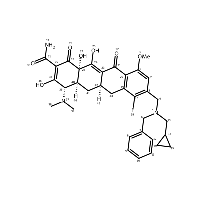 COc1cc(CN(Cc2ccccc2)CC2CC2)c(F)c2c1C(=O)C1=C(O)[C@]3(O)C(=O)C(C(N)=O)=C(O)[C@@H](N(C)C)[C@@H]3C[C@@H]1C2